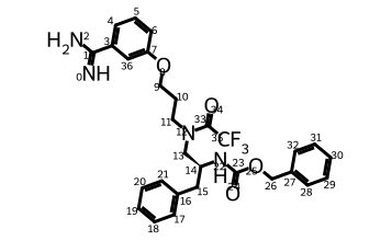 N=C(N)c1cccc(OCCCN(C[C@H](Cc2ccccc2)NC(=O)OCc2ccccc2)C(=O)C(F)(F)F)c1